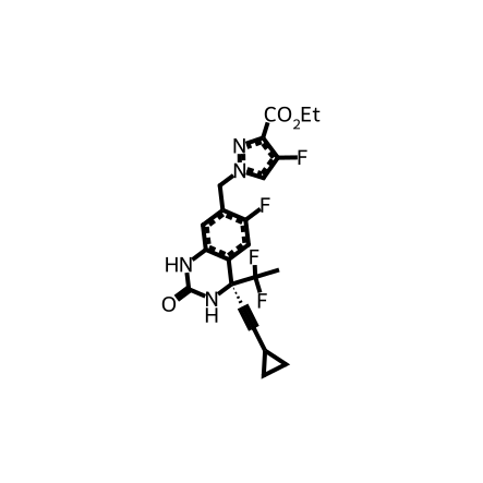 CCOC(=O)c1nn(Cc2cc3c(cc2F)[C@@](C#CC2CC2)(C(C)(F)F)NC(=O)N3)cc1F